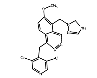 COc1ccc2c(Cc3c(Cl)cncc3Cl)nncc2c1CN1CNC=N1